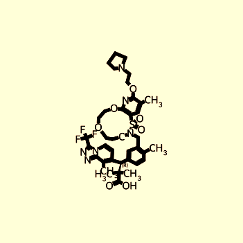 Cc1ccc([C@H](c2ccn3c(C(F)(F)F)nnc3c2C)C(C)(C)C(=O)O)cc1CN1CCCOCCOc2nc(OCCN3CCCC3)c(C)cc2S1(=O)=O